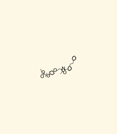 CCOC(=O)C(C)(C)Oc1ccc(OCCc2nc(-c3cccc(CCc4ccccc4)c3)oc2C)cc1